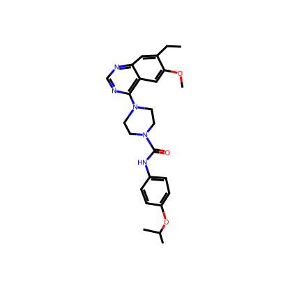 CCc1cc2ncnc(N3CCN(C(=O)Nc4ccc(OC(C)C)cc4)CC3)c2cc1OC